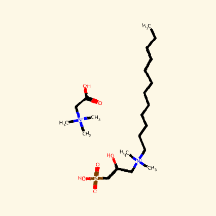 CCCCCCCCCCCC[N+](C)(C)CC(O)CS(=O)(=O)O.C[N+](C)(C)CC(=O)O